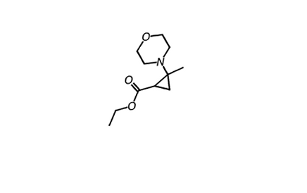 CCOC(=O)C1CC1(C)N1CCOCC1